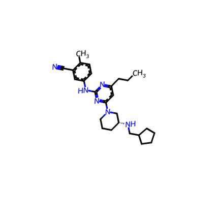 CCCc1cc(N2CCC[C@@H](NCC3CCCC3)C2)nc(Nc2ccc(C)c(C#N)c2)n1